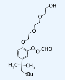 CC(C)(C)CC(C)(C)c1ccc(OCCOCCOCCO)c(OOC=O)c1